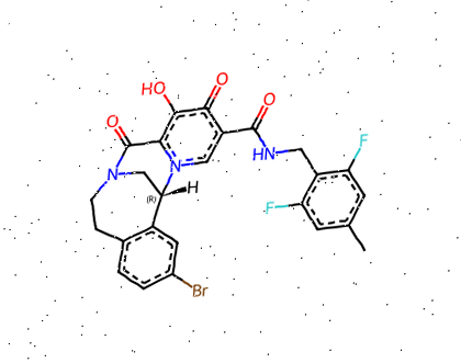 Cc1cc(F)c(CNC(=O)c2cn3c(c(O)c2=O)C(=O)N2CCc4ccc(Br)cc4[C@@H]3C2)c(F)c1